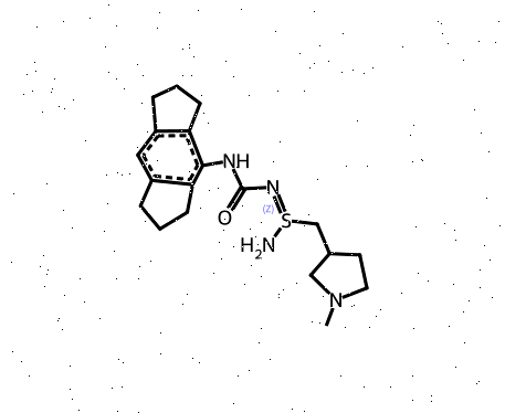 CN1CCC(C/S(N)=N/C(=O)Nc2c3c(cc4c2CCC4)CCC3)C1